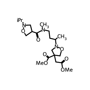 COC(=O)CC1(C(=O)OC)CON(C(C)CCN(C)C(=O)C2CON(C(C)C)C2)C1